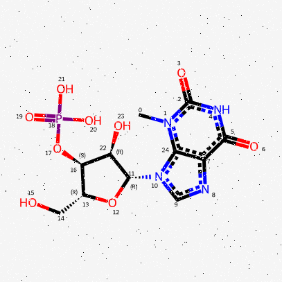 Cn1c(=O)[nH]c(=O)c2ncn([C@@H]3O[C@H](CO)[C@@H](OP(=O)(O)O)[C@H]3O)c21